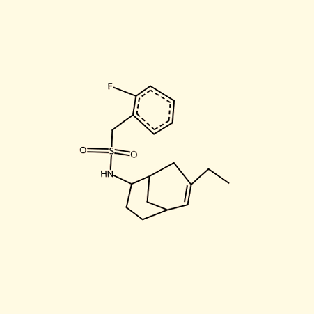 CCC1=CC2CCC(NS(=O)(=O)Cc3ccccc3F)C(C1)C2